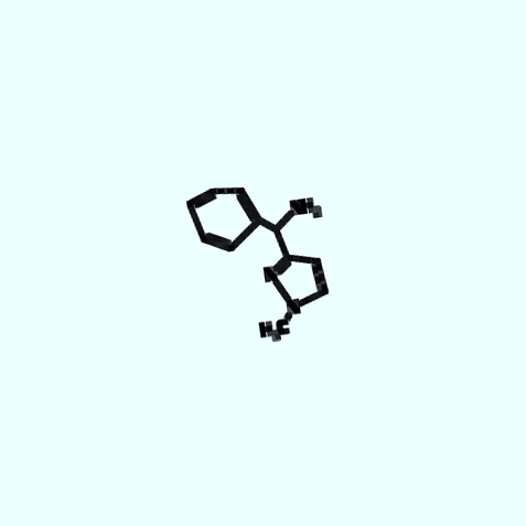 Cn1ccc(C(N)c2ccccc2)n1